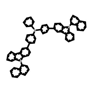 c1ccc(N(c2ccc(-c3ccc4c(c3)c3ccccc3n4-c3cccc4ccccc34)cc2)c2ccc(-c3ccc4c(c3)c3ccccc3n4-c3cccc4ccccc34)cc2)cc1